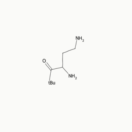 CC(C)(C)C(=O)C(N)CCN